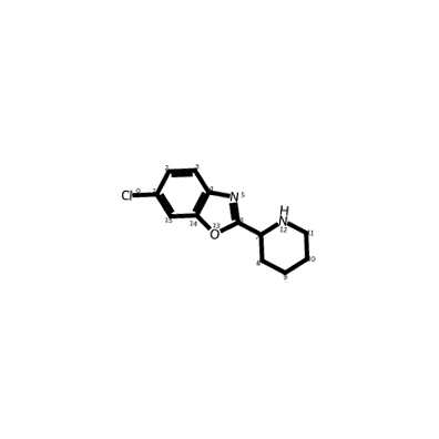 Clc1ccc2nc(C3CCCCN3)oc2c1